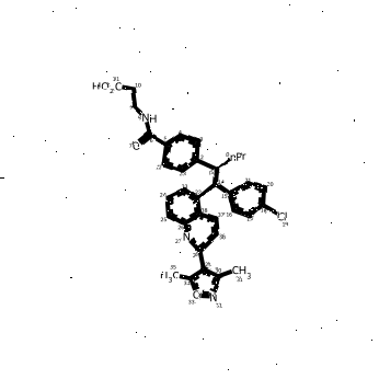 CCC[C@H](c1ccc(C(=O)NCCC(=O)O)cc1)C(c1ccc(Cl)cc1)c1cccc2nc(-c3c(C)noc3C)ccc12